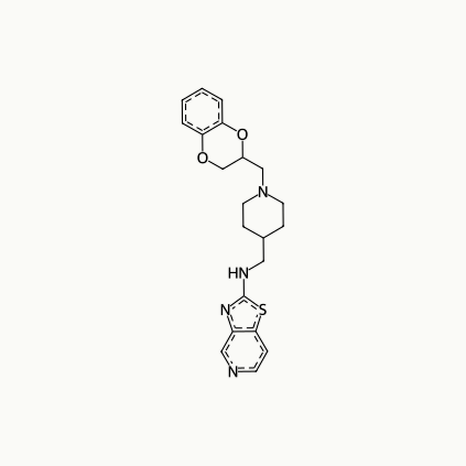 c1ccc2c(c1)OCC(CN1CCC(CNc3nc4cnccc4s3)CC1)O2